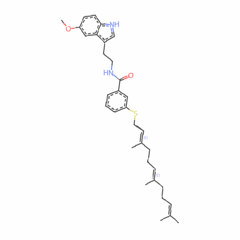 COc1ccc2[nH]cc(CCNC(=O)c3cccc(SC/C=C(\C)CC/C=C(\C)CCC=C(C)C)c3)c2c1